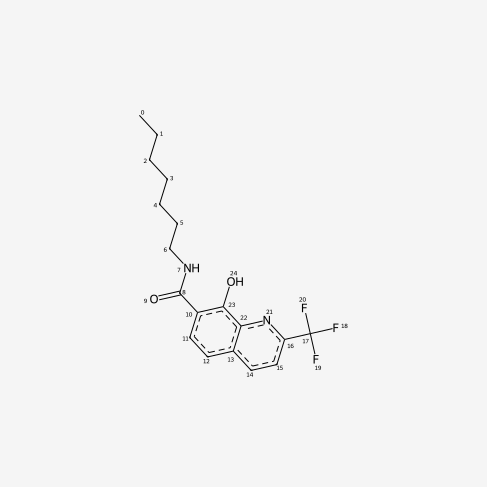 CCCCCCCNC(=O)c1ccc2ccc(C(F)(F)F)nc2c1O